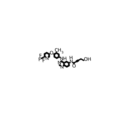 Cc1cc(Nc2ncnc3ccc(NC(=O)C#CCCO)cc23)ccc1Oc1ccc(C(F)(F)F)nc1